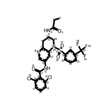 CCC(=O)N[C@H]1Cc2ncc(NC(=O)c3c(Cl)cccc3Cl)cc2N(S(=O)(=O)c2cccc(C(F)(F)F)c2)C1